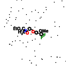 CCOC(=O)CN(C)C(=O)c1cccc(COc2ccc(-c3cc(F)c(F)cc3OC)cc2)c1